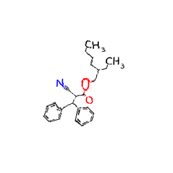 CCCCC(CC)COC(=O)C(C#N)C(c1ccccc1)c1ccccc1